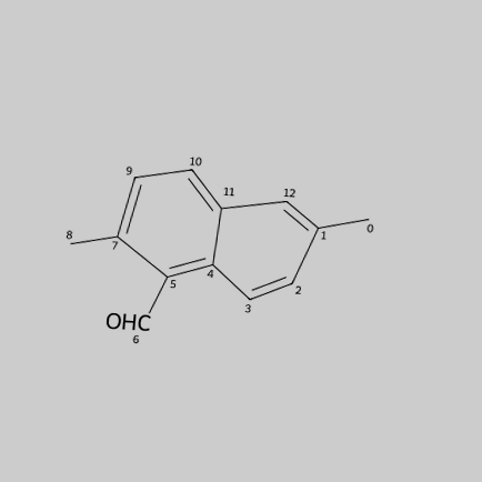 Cc1ccc2c(C=O)c(C)ccc2c1